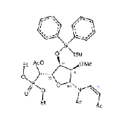 CCOP(=O)(OCC)C(OC(C)=O)[C@H]1O[C@@H](N(/C=C\C(C)=O)C(C)=O)[C@H](OC)[C@@H]1O[Si](c1ccccc1)(c1ccccc1)C(C)(C)C